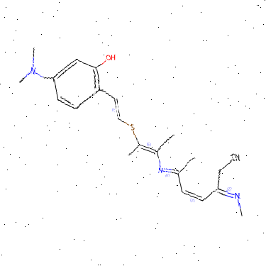 C\N=C(/C=C\C(C)=N\C(C)=C(/C)S/C=C/c1ccc(N(C)C)cc1O)CC#N